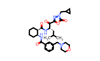 CC(C)C[C@H](NC(=O)[C@@H]1CCCC[C@@H]1NC(=O)c1cccc(CN2CCOCC2)c1)C(=O)c1nn(CC2CC2)c(=O)o1